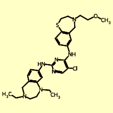 CCN1CCN(CC)c2cc(Nc3ncc(Cl)c(Nc4ccc5c(c4)CN(CCOC)CCS5)n3)ccc2C1